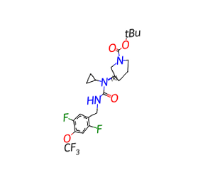 CC(C)(C)OC(=O)N1CCC[C@@H](N(C(=O)NCc2cc(F)c(OC(F)(F)F)cc2F)C2CC2)C1